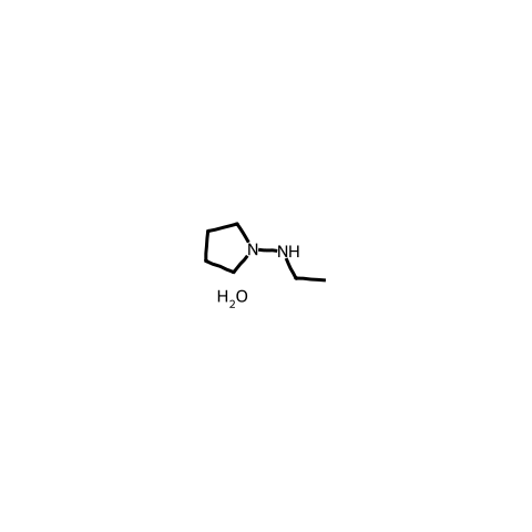 CCNN1CCCC1.O